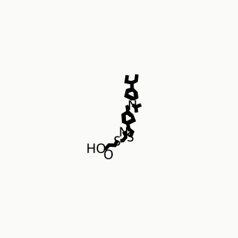 CCC(CC)c1ccc(N(Cc2ccc(C3CSC(CSCCC(=O)O)=N3)cc2)C(C)C)cc1